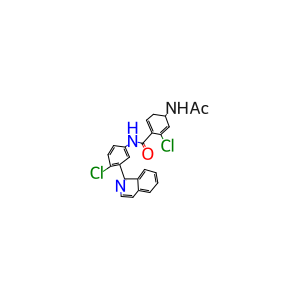 CC(=O)NC1C=C(Cl)C(C(=O)Nc2ccc(Cl)c(-c3nccc4ccccc34)c2)=CC1